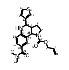 C=CCOC(=O)N1CCC2C(c3ccsc3)Nc3ccc(C(=O)N(C)C)cc3C21